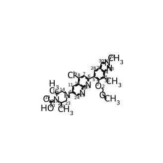 COCOc1c(-c2cc(Cl)c3cc(N4CC(C)N(C(=O)O)C(C)C4)cnc3n2)cc2cn(C)nc2c1C